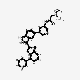 CN(C)CC(=O)Nc1cncc(-c2ccc3[nH]nc(-c4cc5c(-c6cccnc6)ccnc5[nH]4)c3c2)c1